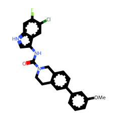 COc1cccc(-c2ccc3c(c2)CCN(C(=O)Nc2c[nH]c4cc(F)c(Cl)cc24)C3)c1